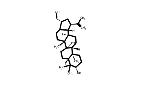 C=C(C)[C@@H]1C[C@@H](CO)C2CC[C@]3(C)[C@H](CC[C@@H]4[C@@]5(C)CC[C@H](O)C(C)(C)[C@@H]5CC[C@]43C)[C@H]21